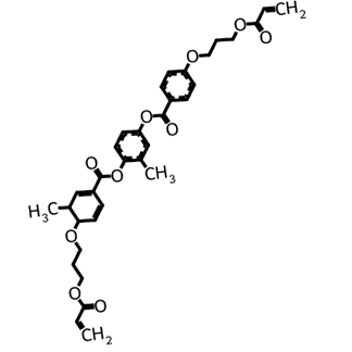 C=CC(=O)OCCCOc1ccc(C(=O)Oc2ccc(OC(=O)C3=CC(C)C(OCCCOC(=O)C=C)C=C3)c(C)c2)cc1